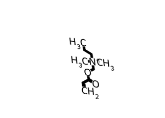 C=CC(=O)OC[N+](C)(C)CCC